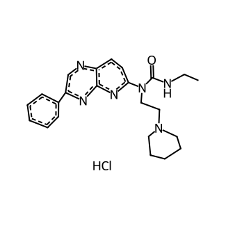 CCNC(=O)N(CCN1CCCCC1)c1ccc2ncc(-c3ccccc3)nc2n1.Cl